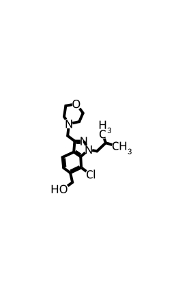 CC(C)Cn1nc(CN2CCOCC2)c2ccc(CO)c(Cl)c21